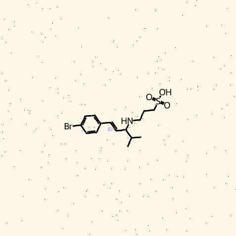 CC(C)C(/C=C/c1ccc(Br)cc1)NCCCS(=O)(=O)O